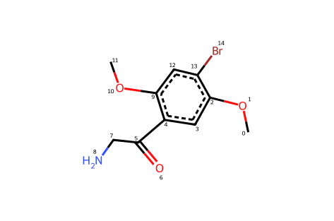 COc1cc(C(=O)CN)c(OC)cc1Br